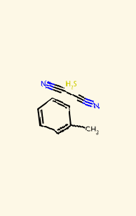 Cc1ccccc1.N#CC#N.S